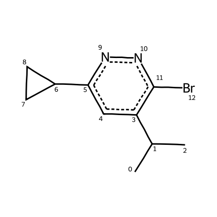 CC(C)c1cc(C2CC2)nnc1Br